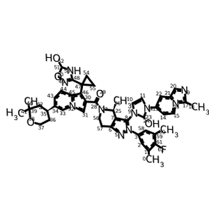 Cc1cc(-n2nc3c(c2N2C=CN(c4ccn5c(C)ncc5c4)C2O)[C@H](C)N(C(=O)c2cn4cc([C@H]5CCOC(C)(C)C5)ccc4c2C2(C4=NOC(O)N4)CC2)CC3)cc(C)c1F